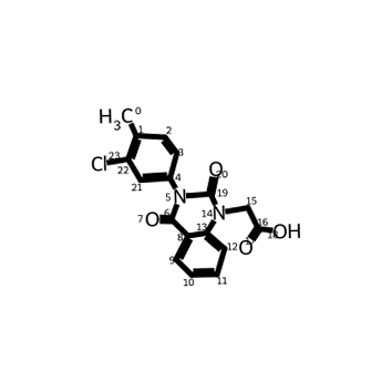 Cc1ccc(-n2c(=O)c3ccccc3n(CC(=O)O)c2=O)cc1Cl